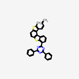 C=C/C=C\c1c(C)sc2ccc3sc4c(-c5nc(-c6ccccc6)nc(-c6ccccc6)n5)cccc4c3c12